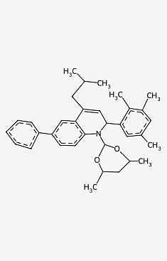 Cc1cc(C)c(C)c(C2C=C(CC(C)C)c3cc(-c4ccccc4)ccc3N2C2OC(C)CC(C)O2)c1